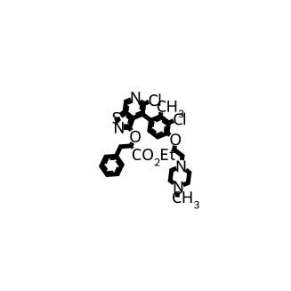 CCOC(=O)[C@@H](Cc1ccccc1)Oc1nsc2cnc(Cl)c(-c3ccc(OCCN4CCN(C)CC4)c(Cl)c3C)c12